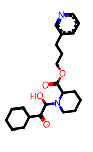 O=C(C1CCCCC1)C(O)N1CCCCC1C(=O)OCCCc1cccnc1